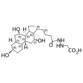 C[C@H](CCC(=O)NNCC(=O)O)[C@H]1CCC2[C@@H]3[C@H](O)C[C@@H]4C[C@H](O)CC[C@]4(C)[C@H]3C[C@H](O)[C@@]21C